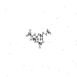 CN(C)CCNCC(CCN(C)C)(CCN(C)C)N(C)C